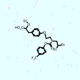 CCOC(Cc1ccc(OCCN(CC(CC)CC)C(=O)Oc2ccc(C(F)(F)F)cc2)cc1)C(=O)O